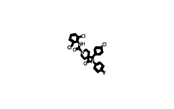 O=C(Nc1c(Cl)cccc1Cl)N1CCC2(CC1)C(=O)N(c1ccc(F)cc1)C2c1ccc(Cl)cc1